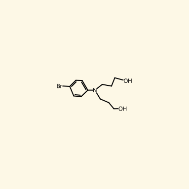 OCCCN(CCCO)c1ccc(Br)cc1